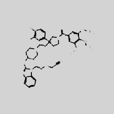 COc1cc(C(=O)N2CCC(CCN3CCC(Nc4nc5ccccc5n4CCOCC#N)CC3)(c3ccc(F)c(F)c3)C2)cc(OC)c1OC